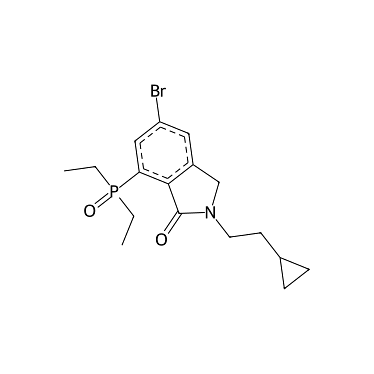 CCP(=O)(CC)c1cc(Br)cc2c1C(=O)N(CCC1CC1)C2